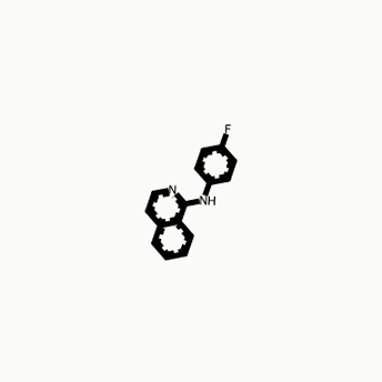 Fc1ccc(Nc2nccc3ccccc23)cc1